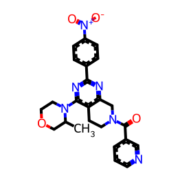 CC1COCCN1c1nc(-c2ccc([N+](=O)[O-])cc2)nc2c1CCN(C(=O)c1cccnc1)C2